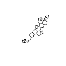 CC(C)(C)Cc1ccc2cc3c4c(nccc4c2c1)-c1cc2ccc(SI)cc2c(CC(C)(C)C)c1O3